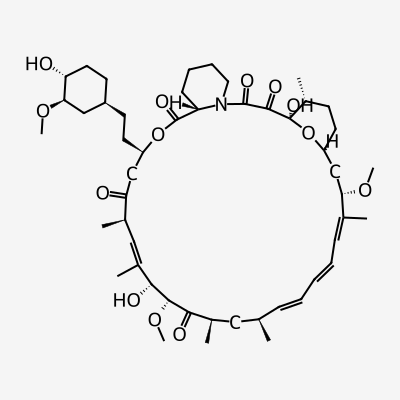 CO[C@H]1C[C@@H]2CC[C@@H](C)[C@@](O)(O2)C(=O)C(=O)N2CCCC[C@H]2C(=O)O[C@H](CC[C@@H]2CC[C@@H](O)[C@H](OC)C2)CC(=O)[C@H](C)/C=C(\C)[C@@H](O)[C@@H](OC)C(=O)[C@H](C)C[C@H](C)/C=C/C=C/C=C/1C